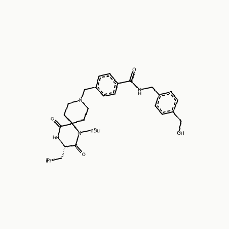 CCCCN1C(=O)[C@H](CC(C)C)NC(=O)C12CCN(Cc1ccc(C(=O)NCc3ccc(CO)cc3)cc1)CC2